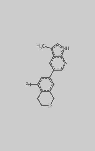 [2H]c1cc(-c2cnc3[nH]cc(C)c3c2)cc2c1CCOC2